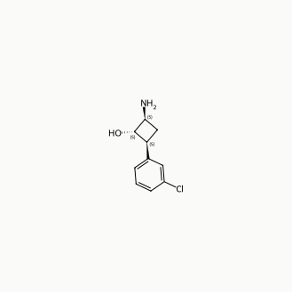 N[C@H]1C[C@@H](c2cccc(Cl)c2)[C@@H]1O